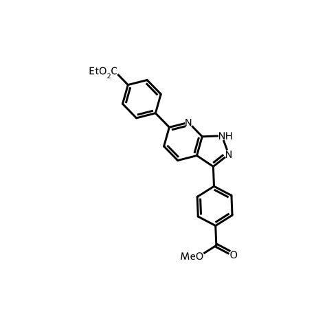 CCOC(=O)c1ccc(-c2ccc3c(-c4ccc(C(=O)OC)cc4)n[nH]c3n2)cc1